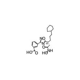 O=C(C[C@@H](CCCC1CCCCC1)c1nc(-c2cccc(C(=O)O)c2)no1)NO